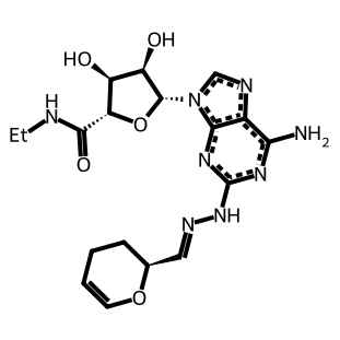 CCNC(=O)[C@H]1O[C@@H](n2cnc3c(N)nc(N/N=C/[C@@H]4CCC=CO4)nc32)[C@H](O)[C@@H]1O